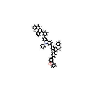 c1ccc(-n2c3ccc(-c4cccc(-c5cc6ccc7ccccc7c6c6ccccc56)c4)cc3c3ccc(-c4ccc5c(-c6ccc(-c7ccc8oc9ccccc9c8c7)cc6)cc6ccc7ccccc7c6c5c4)cc32)cc1